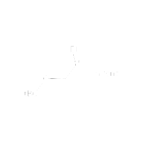 CCCCC[C@@H](CC)COC(C)(C)C